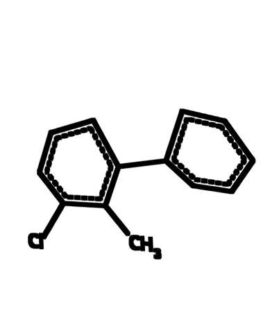 Cc1c(Cl)cccc1-c1ccccc1